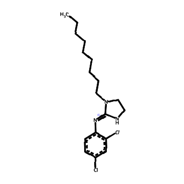 CCCCCCCCCN1CCN/C1=N\c1ccc(Cl)cc1Cl